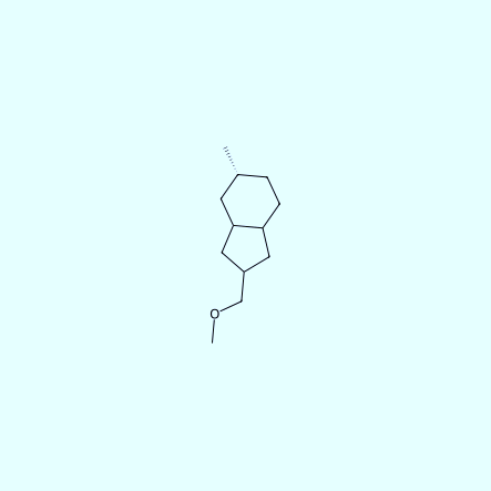 COCC1CC2CC[C@@H](C)CC2C1